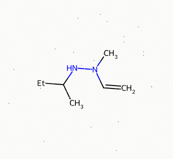 C=CN(C)NC(C)CC